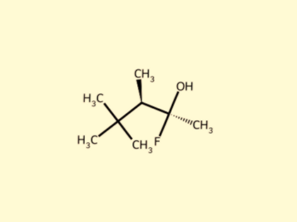 C[C@H](C(C)(C)C)[C@@](C)(O)F